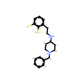 Fc1cccc(CCNC2CCN(Cc3ccccc3)CC2)c1S